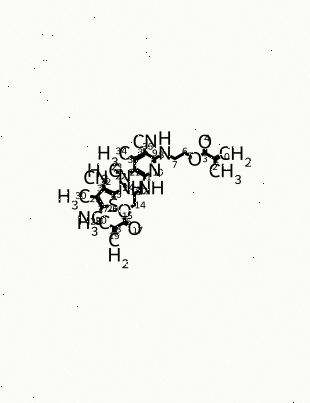 C=C(C)C(=O)OCCNc1nc(NCCOC(=O)C(=C)C)c(N(C)Nc2sc(C#N)c(C)c2C#N)c(C)c1C#N